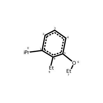 [CH2]C(C)c1cccc(OCC)c1CC